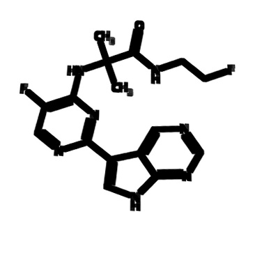 CC(C)(Nc1nc(-c2c[nH]c3ncncc23)ncc1F)C(=O)NCCF